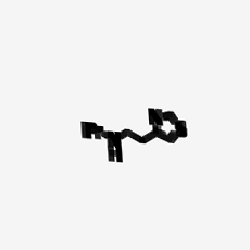 CC(C)NCCc1cscn1